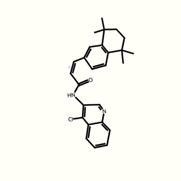 CC1(C)CCC(C)(C)c2cc(/C=C\C(=O)Nc3cnc4ccccc4c3Cl)ccc21